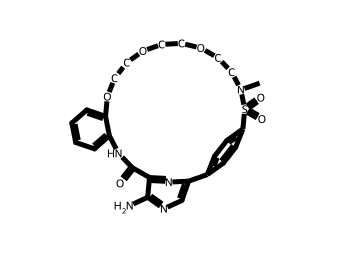 CN1CCOCCOCCOc2ccccc2NC(=O)c2nc(cnc2N)-c2ccc(cc2)S1(=O)=O